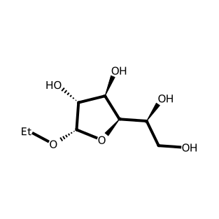 CCO[C@H]1O[C@H]([C@@H](O)CO)[C@H](O)[C@H]1O